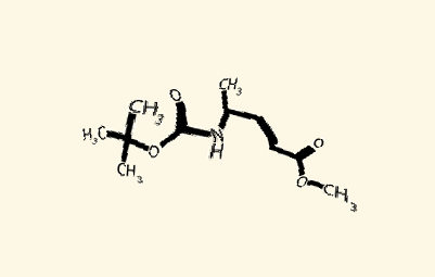 COC(=O)C=CC(C)NC(=O)OC(C)(C)C